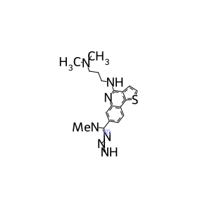 CN/C(=N\N=N)c1ccc2c(c1)nc(NCCCN(C)C)c1ccsc12